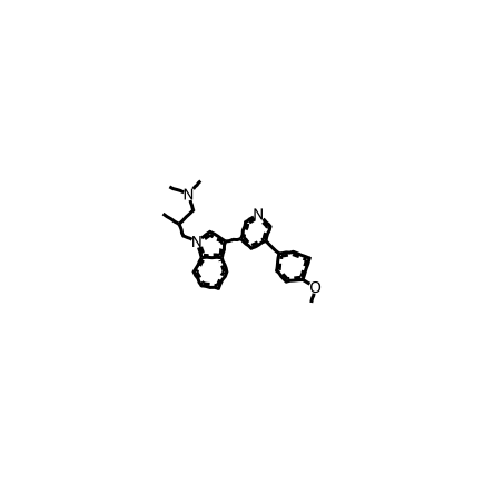 COc1ccc(-c2cncc(-c3cn(CC(C)CN(C)C)c4ccccc34)c2)cc1